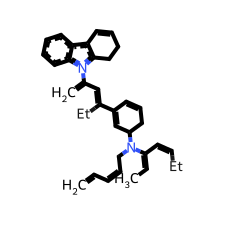 C=C/C=C\CN(C(/C=C\CC)=C\C)C1C=C(/C(=C/C(=C)n2c3c(c4ccccc42)C=CCC3)CC)C=CC1